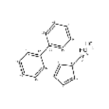 Cl.Cl.[Zr][CH]1C=CC=C1.c1ccc(-c2ccccc2)cc1